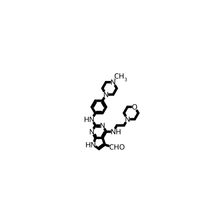 CN1CCN(c2ccc(Nc3nc(NCCN4CCOCC4)c4c(C=O)c[nH]c4n3)cc2)CC1